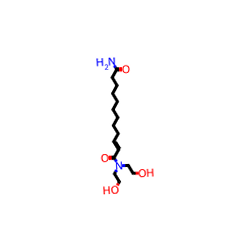 NC(=O)CCCCCCCCC=CC(=O)N(CCO)CCO